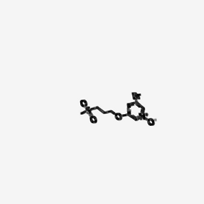 CS(=O)(=O)CCCOc1cc(Br)c[n+]([O-])c1